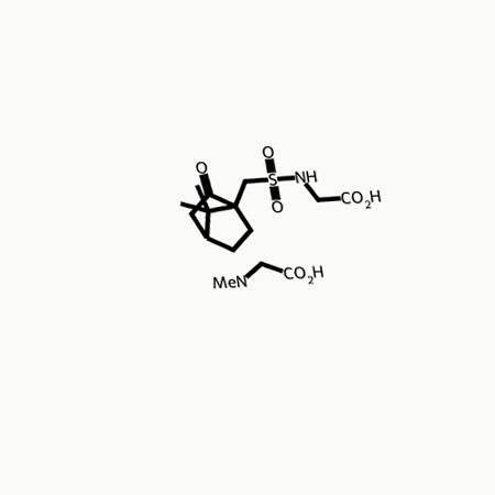 CC1(C)C2CCC1(CS(=O)(=O)NCC(=O)O)C(=O)C2.CNCC(=O)O